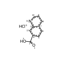 Cl.O=C(O)c1ccc2cccnc2c1